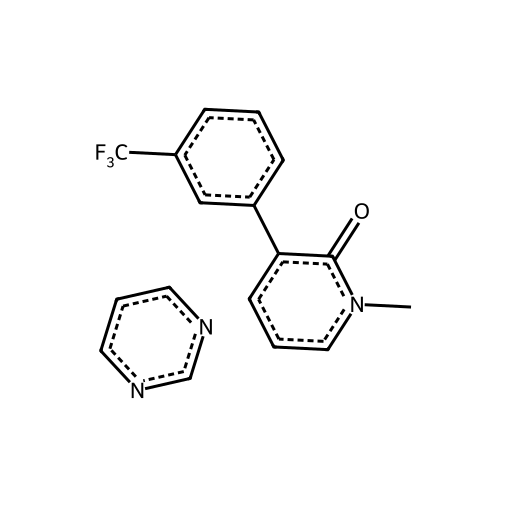 Cn1cccc(-c2cccc(C(F)(F)F)c2)c1=O.c1cncnc1